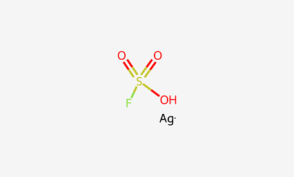 O=S(=O)(O)F.[Ag]